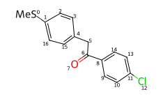 CSc1ccc(CC(=O)c2ccc(Cl)cc2)cc1